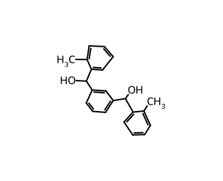 Cc1ccccc1C(O)c1cccc(C(O)c2ccccc2C)c1